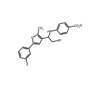 Cc1oc(-c2cccc(F)c2)cc1C(CC(C)C)Nc1ccc(C(=O)O)cc1